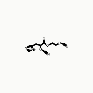 N#COCCOC(=O)C(Cc1cnc[nH]1)OC#N